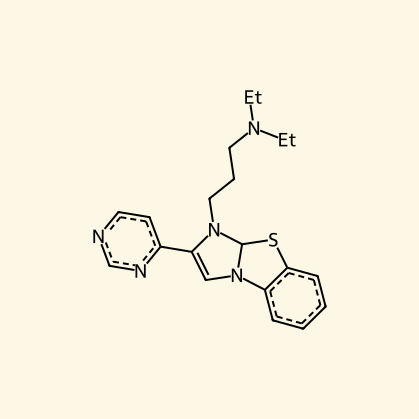 CCN(CC)CCCN1C(c2ccncn2)=CN2c3ccccc3SC12